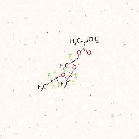 C=C(C)C(=O)OCC(F)(OC(F)(F)C(F)(OC(F)(F)C(F)(F)C(F)(F)F)C(F)(F)F)C(F)(F)F